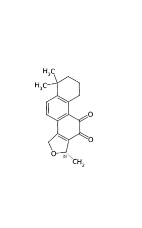 C[C@@H]1OCC2=C1C(=O)C(=O)c1c2ccc2c1CCCC2(C)C